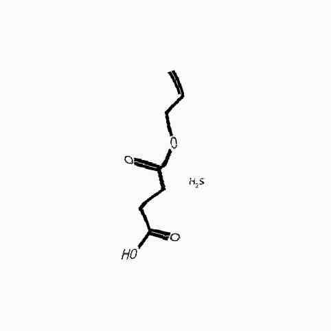 C=CCOC(=O)CCC(=O)O.S